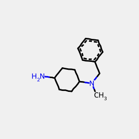 CN(Cc1ccccc1)C1CCC(N)CC1